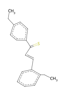 CCc1ccc(C(=S)C=Cc2ccccc2CC)cc1